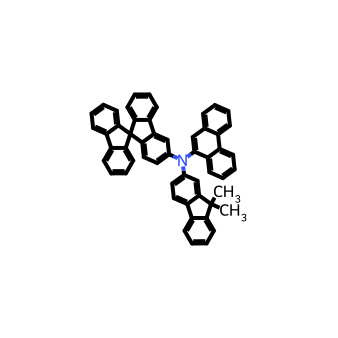 CC1(C)c2ccccc2-c2ccc(N(c3ccc4c(c3)-c3ccccc3C43c4ccccc4-c4ccccc43)c3cc4ccccc4c4ccccc34)cc21